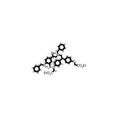 CCOC(=O)COc1ccc(C(CN(Cc2ccccc2)CC(O)c2ccc(OCc3ccccc3)c(N)c2)c2ccc(OCC(=O)OCC)cc2)cc1